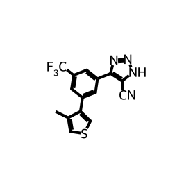 Cc1cscc1-c1cc(-c2nn[nH]c2C#N)cc(C(F)(F)F)c1